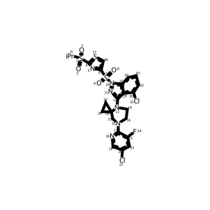 CC(C)S(=O)(=O)c1nc(S(=O)(=O)n2nc(N3CCN(c4ncc(Cl)cc4F)CC34CC4)c3c(Cl)cccc32)cs1